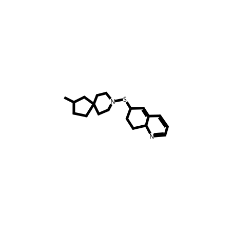 CC1CCC2(CCN(SC3C=C4C=CC=NC4CC3)CC2)C1